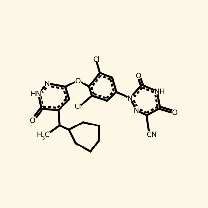 CC(c1cc(Oc2c(Cl)cc(-n3nc(C#N)c(=O)[nH]c3=O)cc2Cl)n[nH]c1=O)C1CCCCC1